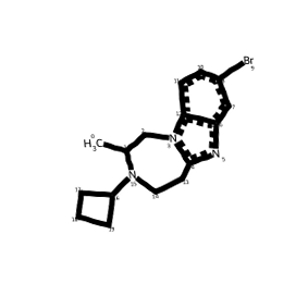 CC1Cn2c(nc3cc(Br)ccc32)CCN1C1CCC1